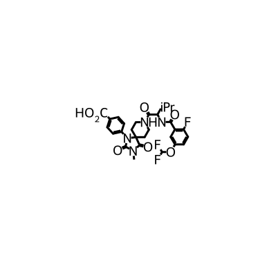 CC(C)C(NC(=O)c1cc(OC(F)F)ccc1F)C(=O)N1CCC2(CC1)C(=O)N(C)C(=O)N2c1ccc(C(=O)O)cc1